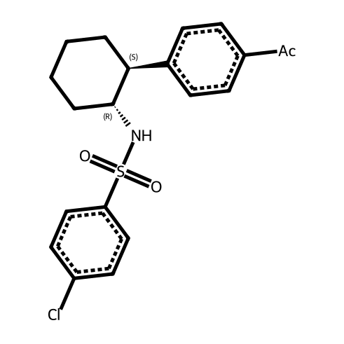 CC(=O)c1ccc([C@@H]2CCCC[C@H]2NS(=O)(=O)c2ccc(Cl)cc2)cc1